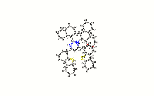 c1ccc2c(-c3nc(-c4cccc5c4sc4ccccc45)cc(-c4cccc5c4sc4ccccc45)n3)c(-c3cc4ccccc4c4ccccc34)ccc2c1